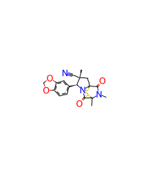 CN1C(=O)C23C[C@@](C)(C#N)[C@H](c4ccc5c(c4)OCO5)N2C(=O)C1(C)S3